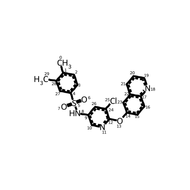 Cc1ccc(S(=O)(=O)Nc2cnc(Oc3ccc4ncccc4c3)c(Cl)c2)cc1C